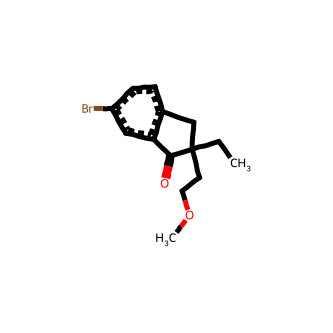 CCC1(CCOC)Cc2ccc(Br)cc2C1=O